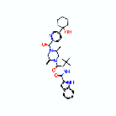 C=C1CN(C(=O)c2ccc(C3(O)CCCCC3)cn2)[C@@H](C)CN1C(=O)[C@@H](NC(=O)c1cc2ccccc2[nH]1)C(C)(C)C